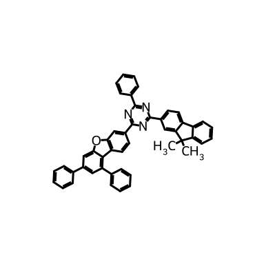 CC1(C)c2ccccc2-c2ccc(-c3nc(-c4ccccc4)nc(-c4ccc5c(c4)oc4cc(-c6ccccc6)cc(-c6ccccc6)c45)n3)cc21